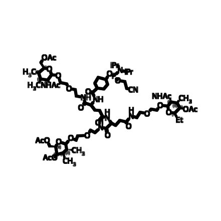 CC[C@H]1OC(OCCOCCNC(=O)CCC(NC(=O)CCC(NC(=O)C2CCC(OP(OCCC#N)N(C(C)C)C(C)C)CC2)C(=O)NCCOCCOC2O[C@H](COC(C)=O)[C@H](C)[C@H](C)[C@H]2NC(C)=O)C(=O)NCCOCCOC2O[C@H](COC(C)=O)[C@H](OC(C)=O)[C@H](C)[C@H]2C)[C@H](NC(C)=O)[C@@H](C)[C@H]1OC(C)=O